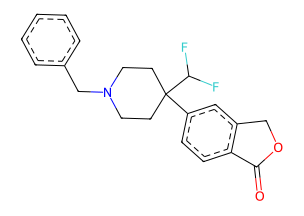 O=C1OCc2cc(C3(C(F)F)CCN(Cc4ccccc4)CC3)ccc21